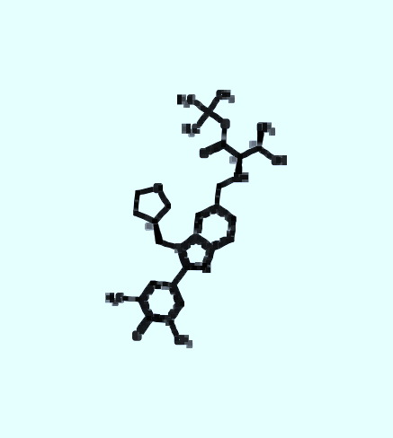 Cc1cc(-c2nc3ccc(CN[C@@H](C(=O)OC(C)(C)C)[C@@H](C)O)cc3n2C[C@H]2CCOC2)cn(C)c1=O